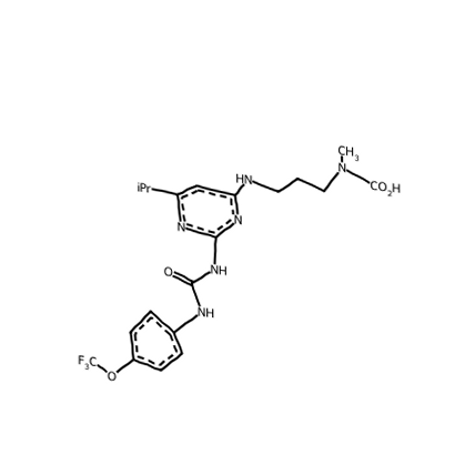 CC(C)c1cc(NCCCN(C)C(=O)O)nc(NC(=O)Nc2ccc(OC(F)(F)F)cc2)n1